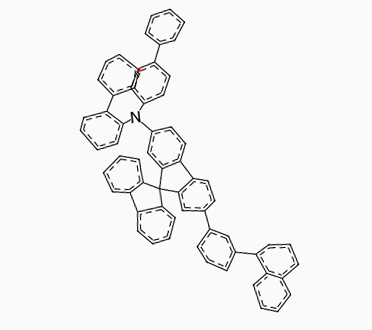 c1ccc(-c2ccc(N(c3ccc4c(c3)C3(c5ccccc5-c5ccccc53)c3cc(-c5cccc(-c6cccc7ccccc67)c5)ccc3-4)c3ccccc3-c3ccccc3)cc2)cc1